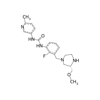 COC[C@@H]1CN(Cc2cccc(NC(=O)Nc3ccc(C)nc3)c2F)CCN1